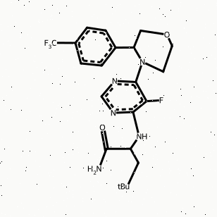 CC(C)(C)CC(Nc1ncnc(N2CCOCC2c2ccc(C(F)(F)F)cc2)c1F)C(N)=O